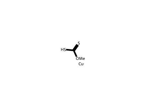 COC(=S)S.[Cu]